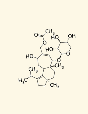 CC(=O)OCC1=C[C@H](O[C@@H]2OC[C@@H](O)[C@H](O)[C@H]2O)[C@]2(C)CC[C@@]3(C)CCC(C(C)C)=C3C2CC1O